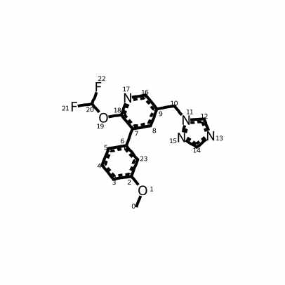 COc1cccc(-c2cc(Cn3cncn3)cnc2OC(F)F)c1